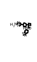 Nc1ncc(-c2ccc(C3(C(=O)Nc4ccc5ncsc5c4)CCC3)cc2)cn1